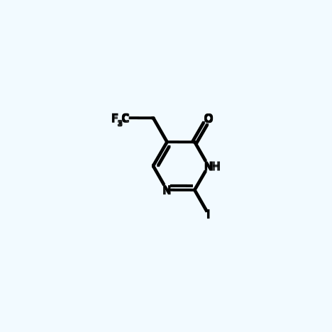 O=c1[nH]c(I)ncc1CC(F)(F)F